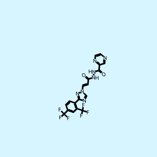 O=C(C=Cn1cnc(-c2ccc(C(F)(F)F)cc2C(F)(F)F)n1)NNC(=O)c1cnccn1